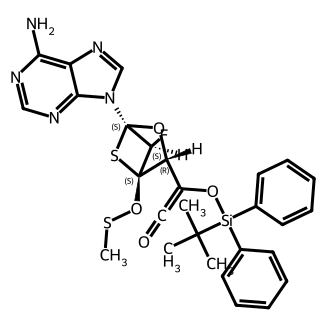 CSO[C@]12S[C@@](n3cnc4c(N)ncnc43)(O[C@@H]1C(=C=O)O[Si](c1ccccc1)(c1ccccc1)C(C)(C)C)[C@H]2F